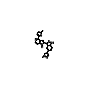 Cc1ccc(-c2nccc3[nH]c(-c4n[nH]c5ccc(-c6cnn(C)c6)cc45)cc23)s1